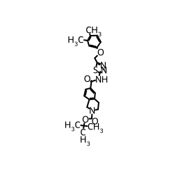 Cc1ccc(OCc2nnc(NC(=O)c3ccc4c(c3)CCN(C(=O)OC(C)(C)C)C4)s2)cc1C